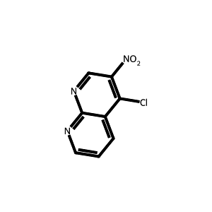 O=[N+]([O-])c1cnc2ncccc2c1Cl